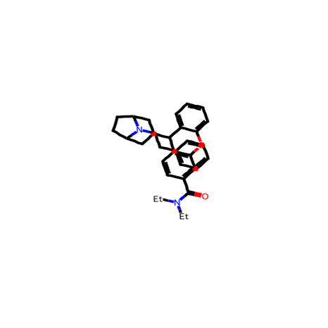 CCN(CC)C(=O)c1ccc2c(c1)Oc1ccccc1C2C1CC2CCC(C1)N2CCc1ccccc1